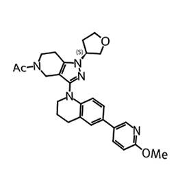 COc1ccc(-c2ccc3c(c2)CCCN3c2nn([C@H]3CCOC3)c3c2CN(C(C)=O)CC3)cn1